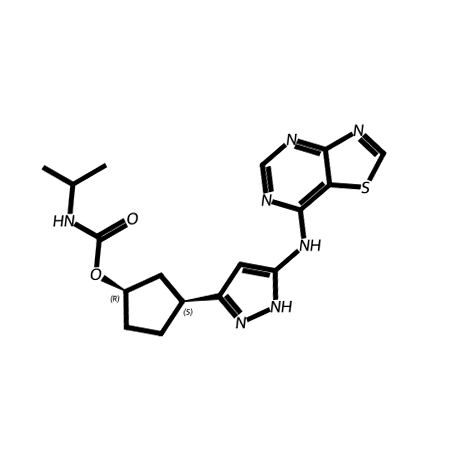 CC(C)NC(=O)O[C@@H]1CC[C@H](c2cc(Nc3ncnc4ncsc34)[nH]n2)C1